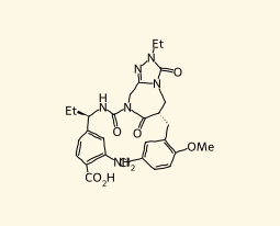 CC[C@@H](NC(=O)N1Cc2nn(CC)c(=O)n2C[C@H](Cc2cc(Cl)ccc2OC)C1=O)c1ccc(C(=O)O)c(N)c1